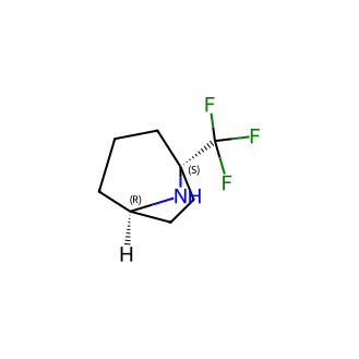 FC(F)(F)[C@]12CCC[C@H](CC1)N2